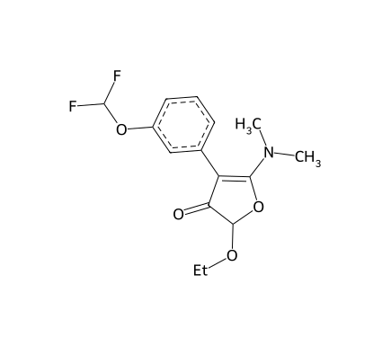 CCOC1OC(N(C)C)=C(c2cccc(OC(F)F)c2)C1=O